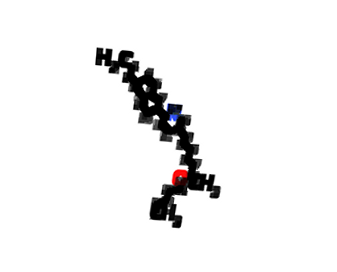 C=CCc1ccc2cc(-c3ccc(C=CCCCC(C)OCCCCC)cn3)ccc2c1